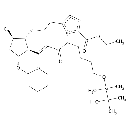 CCOC(=O)c1ccc(CCC[C@@H]2[C@@H](/C=C/C(=O)CCCCCO[Si](C)(C)C(C)(C)C)[C@H](OC3CCCCO3)C[C@H]2Cl)s1